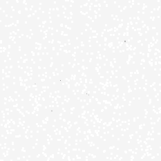 O=S(=O)(O)CCC(c1nccc(Br)n1)N1c2ccccc2Sc2ccccc21